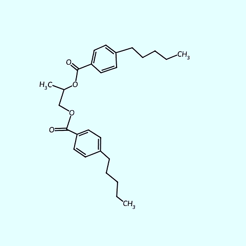 CCCCCc1ccc(C(=O)OCC(C)OC(=O)c2ccc(CCCCC)cc2)cc1